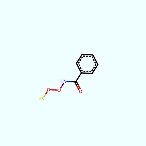 O=C(NOOS)c1ccccc1